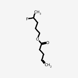 C=CCCC(=O)OCCCC(C)F